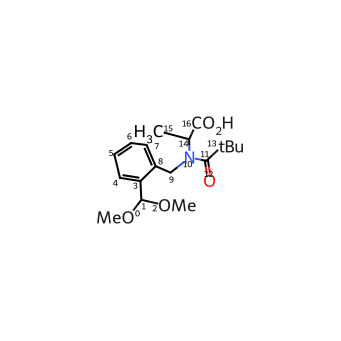 COC(OC)c1ccccc1CN(C(=O)C(C)(C)C)C(C)C(=O)O